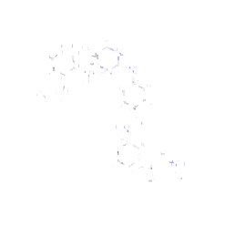 CN(C=O)c1ccccc1Nc1nc(Nc2ccc(CNc3cccc(C4CCCNC4)c3)cc2)ncc1C(F)(F)F